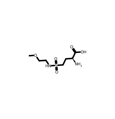 COCCNS(=O)(=O)CC[C@H](N)C(=O)O